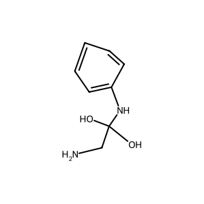 NCC(O)(O)Nc1ccccc1